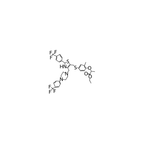 CCOC(=O)C(C)Oc1ccc(SCC2=C(CN3CCN(c4ccc(C(F)(F)F)cc4)CC3)NC(c3ccc(C(F)(F)F)cc3)S2)cc1C